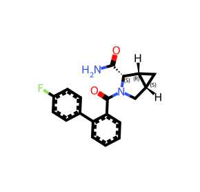 NC(=O)[C@@H]1[C@@H]2C[C@@H]2CN1C(=O)c1ccccc1-c1ccc(F)cc1